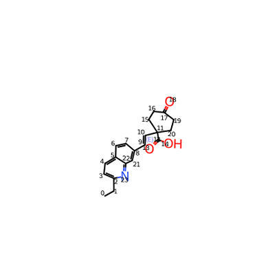 CCc1ccc2ccc(/C=C/C3(C(=O)O)CCC(=O)CC3)cc2n1